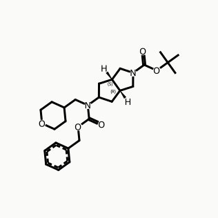 CC(C)(C)OC(=O)N1C[C@H]2CC(N(CC3CCOCC3)C(=O)OCc3ccccc3)C[C@H]2C1